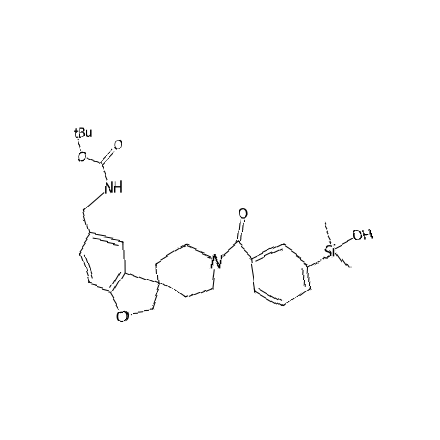 CC(C)(C)OC(=O)NCc1ccc2c(c1)C1(CCN(C(=O)c3cccc([Si](C)(C)O)c3)CC1)CO2